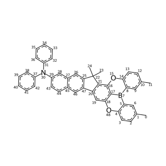 Cc1ccc2c(c1)B1c3cc(C)ccc3Oc3c1c(cc1c3C(C)(C)c3cc4cc(N(c5ccccc5)c5ccccc5)ccc4cc3-1)O2